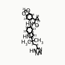 CC(C)(CCc1nnn[nH]1)c1cc2cc(NC(=O)C3(c4ccc5c(c4)OCO5)CC3)ccc2[nH]1